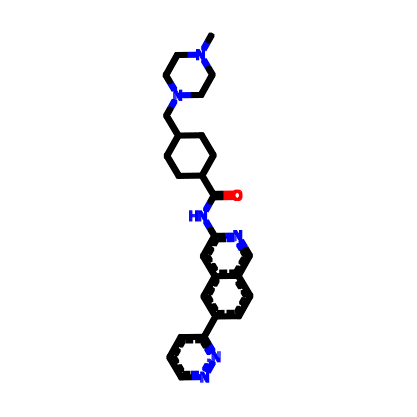 CN1CCN(CC2CCC(C(=O)Nc3cc4cc(-c5cccnn5)ccc4cn3)CC2)CC1